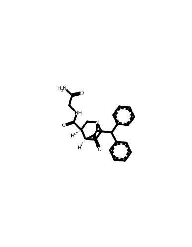 NC(=O)CNC(=O)[C@H]1CN2CC[C@@H]1C(=O)C2C(c1ccccc1)c1ccccc1